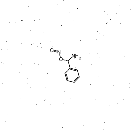 NC(ON=O)c1ccccc1